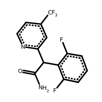 NC(=O)C(c1cc(C(F)(F)F)ccn1)c1c(F)cccc1F